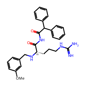 COc1cccc(CN[C@@H](CCCNC(=N)N)C(=O)NC(=O)C(c2ccccc2)c2ccccc2)c1